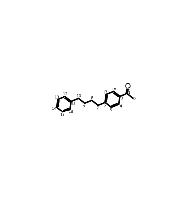 CC(=O)c1ccc(CCCCc2ccccc2)cc1